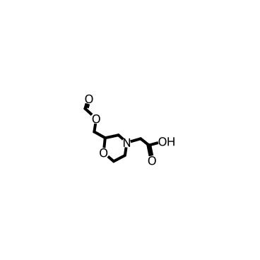 O=COCC1CN(CC(=O)O)CCO1